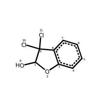 OC1Oc2ccccc2C1(Cl)Cl